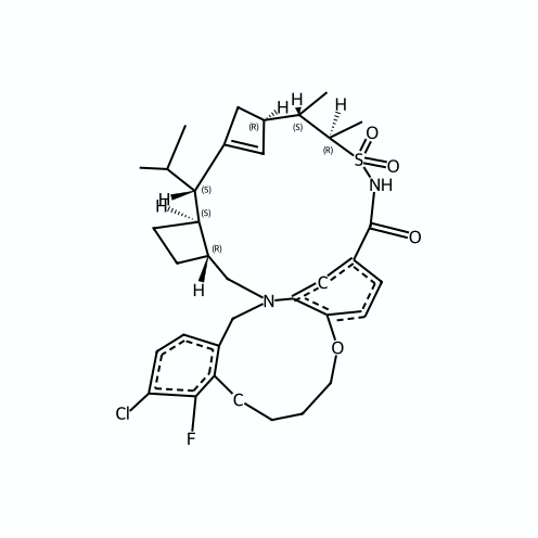 CC(C)[C@@H]1C2=C[C@@H](C2)[C@H](C)[C@@H](C)S(=O)(=O)NC(=O)c2ccc3c(c2)N(Cc2ccc(Cl)c(F)c2CCCCO3)C[C@@H]2CC[C@H]21